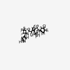 Cn1cc(C(=O)C(=O)NC2(c3cn[nH]n3)CC(F)(F)C2)c(C(F)(F)F)c1C(=O)Nc1ccc(F)c(Cl)c1